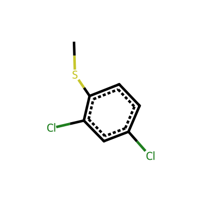 CSc1ccc(Cl)cc1Cl